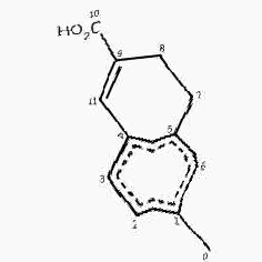 Cc1ccc2c(c1)CCC(C(=O)O)=C2